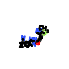 Cn1ncc([C@@H]2C[C@H]2C(=O)Nc2cc3cc([C@]4(C#N)CC45CC5)ccc3cn2)c1C(F)(F)F